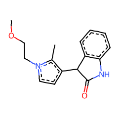 COCCn1ccc(C2C(=O)Nc3ccccc32)c1C